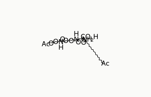 CC(=O)CCCCCCCCCCCCCCCCC(=O)N[C@@H](CCC(=O)NCCOCCOCC(=O)NCCOCCOCC(C)=O)C(=O)O